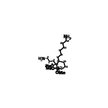 COC1(CCCN)C(CCCCCCN)CCC[Si]1(OC)OC